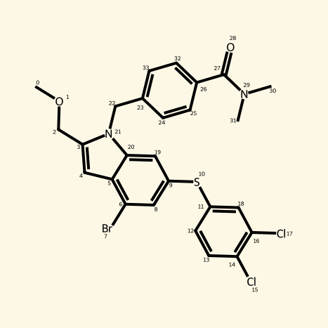 COCc1cc2c(Br)cc(Sc3ccc(Cl)c(Cl)c3)cc2n1Cc1ccc(C(=O)N(C)C)cc1